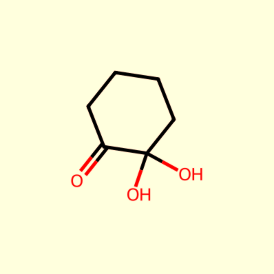 O=C1CCCCC1(O)O